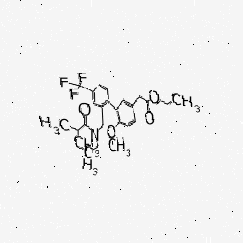 CCOC(=O)Cc1ccc(OC)c(-c2ccc(C(F)(F)F)cc2CN(CC)C(=O)C(C)C)c1